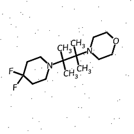 CC(C)(N1CCOCC1)C(C)(C)N1CCC(F)(F)CC1